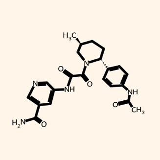 CC(=O)Nc1ccc([C@H]2CC[C@H](C)CN2C(=O)C(=O)Nc2cncc(C(N)=O)c2)cc1